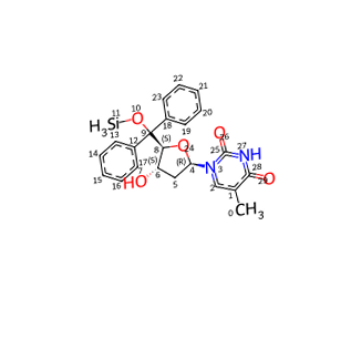 Cc1cn([C@H]2C[C@H](O)[C@@H](C(O[SiH3])(c3ccccc3)c3ccccc3)O2)c(=O)[nH]c1=O